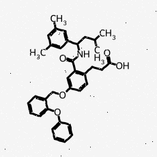 Cc1cc(C)cc(C(CC(C)C)NC(=O)c2cc(OCc3ccccc3Oc3ccccc3)ccc2CCC(=O)O)c1